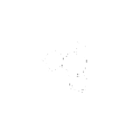 Nc1cc2sccc2c2ccsc12